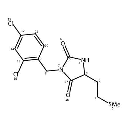 CSCCC1NC(=O)N(Cc2ccc(Cl)cc2Cl)C1=O